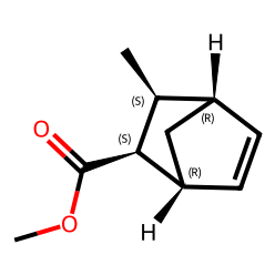 COC(=O)[C@H]1[C@@H](C)[C@@H]2C=C[C@H]1C2